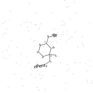 CCCCCCC1(C)CCCC(CBr)C1